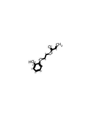 C=CC(=O)OCCOc1ccccc1O